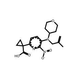 C=C(C)CN(c1ccc(C2(C(=O)O)CC2)nc1[N+](=O)[O-])C1CCOCC1